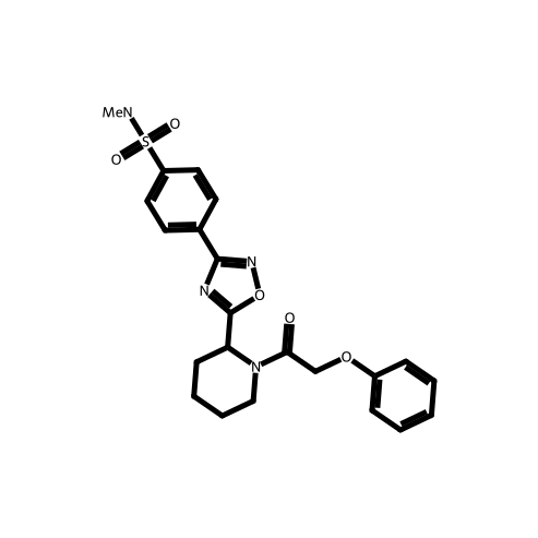 CNS(=O)(=O)c1ccc(-c2noc(C3CCCCN3C(=O)COc3ccccc3)n2)cc1